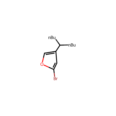 CCCCC(CCCC)c1coc(Br)c1